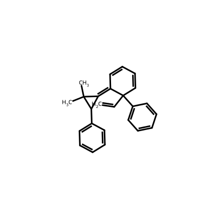 C=CC1(c2ccccc2)C=CC=CC1=C1C(c2ccccc2)C1(C)C